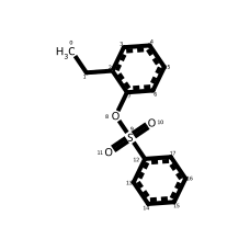 CCc1ccccc1OS(=O)(=O)c1ccccc1